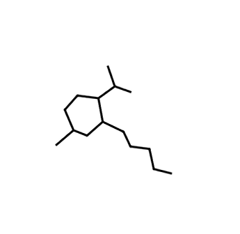 CCCCCC1CC(C)CCC1C(C)C